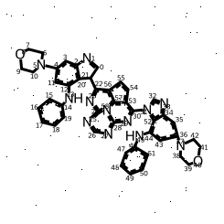 C1=Nc2cc(N3CCOCC3)cc(Nc3ccccc3)c2C1c1nc2ncnc3nc(-n4cnc5cc(N6CCOCC6)cc(Nc6ccccc6)c54)c4ccc1c4n23